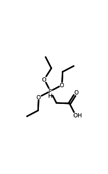 CCO[PH](CC(=O)O)(OCC)OCC